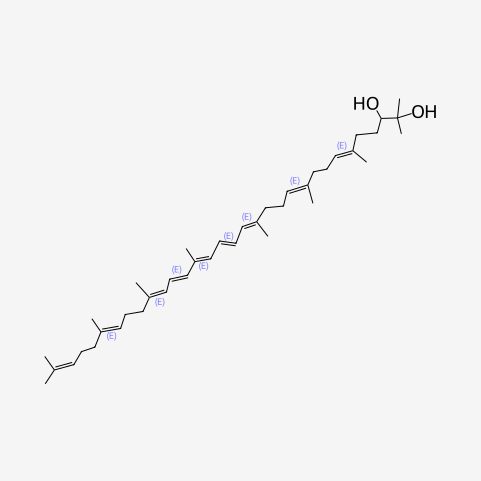 CC(C)=CCC/C(C)=C/CC/C(C)=C/C=C/C(C)=C/C=C/C=C(\C)CC/C=C(\C)CC/C=C(\C)CCC(O)C(C)(C)O